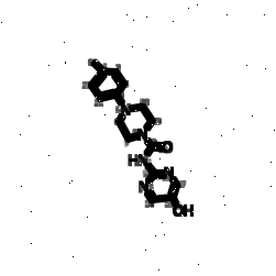 Cc1ccc(N2CCN(C(=O)Nc3ncc(O)cn3)CC2)cc1